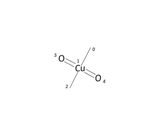 [CH3][Cu]([CH3])(=[O])=[O]